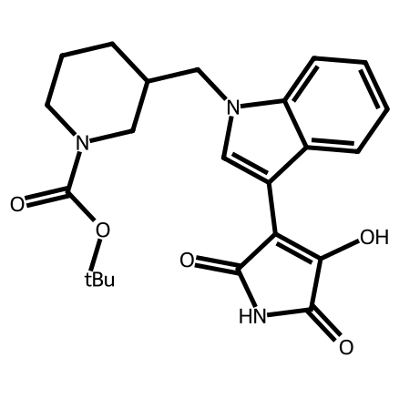 CC(C)(C)OC(=O)N1CCCC(Cn2cc(C3=C(O)C(=O)NC3=O)c3ccccc32)C1